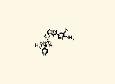 CC(C)(NC(=O)N1CC[C@@]2(CCn3nc(-c4cnc(N)c(C#N)c4)cc32)C1)c1ccncc1